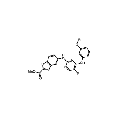 COC(=O)c1cc2cc(Nc3ncc(F)c(Nc4cccc(OC(C)C)c4)n3)ccc2o1